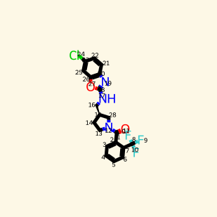 O=C(c1ccccc1C(F)(F)F)N1CC[C@@H](CNc2nc3ccc(Cl)cc3o2)C1